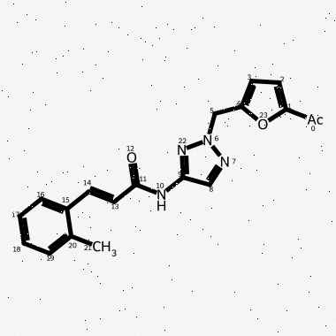 CC(=O)c1ccc(Cn2ncc(NC(=O)C=Cc3ccccc3C)n2)o1